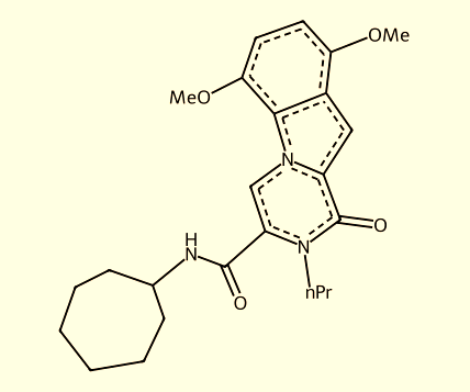 CCCn1c(C(=O)NC2CCCCCC2)cn2c(cc3c(OC)ccc(OC)c32)c1=O